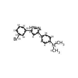 CN(C)c1ccc(-c2cc(-c3cccc(Br)c3)[nH]n2)cc1